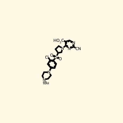 CC(C)(C)N1CCN(c2ccc(S(=O)(=O)C3CCN(c4nc(C#N)ncc4C(=O)O)C3)c(Cl)c2)CC1